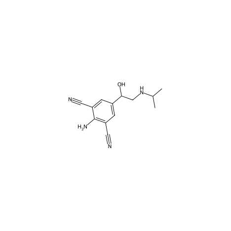 CC(C)NCC(O)c1cc(C#N)c(N)c(C#N)c1